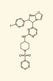 O=S(=O)(c1ccccc1)N1CCC(Nc2nccc(C3C(c4ccc(F)cc4)N=C4OC=CN43)n2)CC1